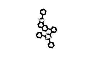 c1ccc(-c2nc(-c3ccccc3)nc(-c3ccccc3-c3ccc4ccc5nc(-c6ccccc6)sc5c4c3)n2)cc1